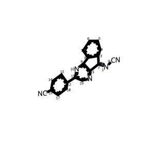 N#C/N=C1\c2ccccc2-c2nc(-c3ccc(C#N)cc3)cnc21